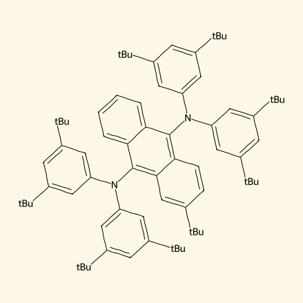 CC(C)(C)c1cc(N(c2cc(C(C)(C)C)cc(C(C)(C)C)c2)c2c3ccccc3c(N(c3cc(C(C)(C)C)cc(C(C)(C)C)c3)c3cc(C(C)(C)C)cc(C(C)(C)C)c3)c3cc(C(C)(C)C)ccc23)cc(C(C)(C)C)c1